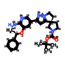 C[C@H](Oc1cc(-c2cc3n(n2)CC[C@@]32CCN(C(=O)OC(C)(C)C)C2)cnc1N)c1ccccc1